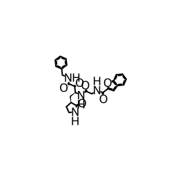 O=C(CNC(=O)c1cc2ccccc2o1)N[C@@H](C[C@@H]1CCNC1=O)C(=O)C(=O)NCc1ccccc1